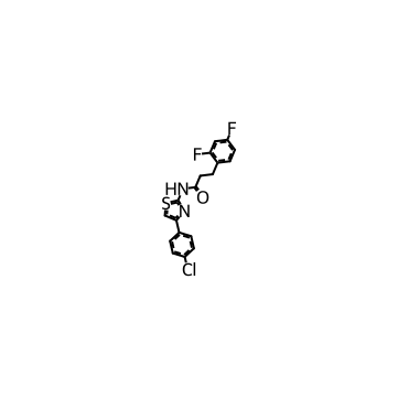 O=C(CCc1ccc(F)cc1F)Nc1nc(-c2ccc(Cl)cc2)cs1